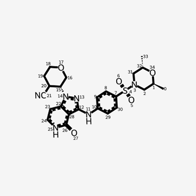 C[C@H]1CN(S(=O)(=O)c2ccc(Nc3nn([C@H]4COCCC4C#N)c4cc[nH]c(=O)c34)cc2)C[C@H](C)O1